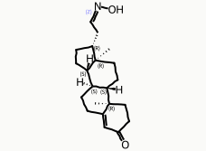 C[C@]12CC[C@H]3[C@@H](CCC4=CC(=O)CC[C@@]43C)[C@@H]1CC[C@@H]2C/C=N\O